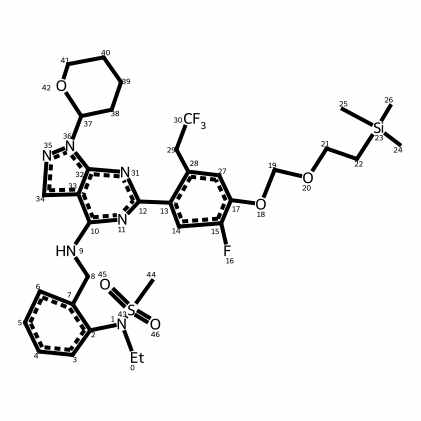 CCN(c1ccccc1CNc1nc(-c2cc(F)c(OCOCC[Si](C)(C)C)cc2CC(F)(F)F)nc2c1cnn2C1CCCCO1)S(C)(=O)=O